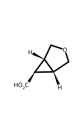 O=C(O)[C@H]1[C@@H]2COC[C@@H]21